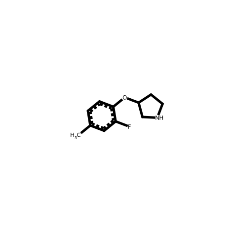 Cc1ccc(OC2CCNC2)c(F)c1